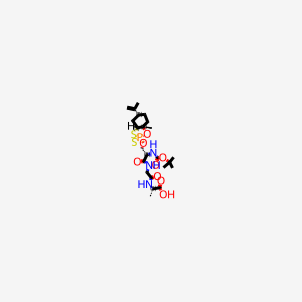 C=C(C)[C@@H]1CC[C@]2(C)OP(=S)(OC[C@H](NC(=O)OC(C)(C)C)C(=O)NCC(=O)N[C@@H](C)C(=O)O)S[C@H]2C1